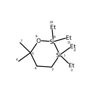 CC[Si]1(CC)CCC(C)(C)O[Si]1(CC)CC